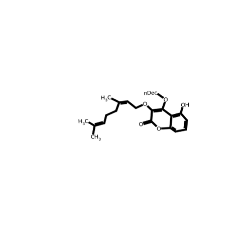 CCCCCCCCCCOc1c(OCC=C(C)CCC=C(C)C)c(=O)oc2cccc(O)c12